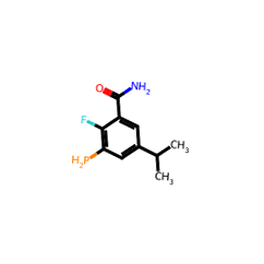 CC(C)c1cc(P)c(F)c(C(N)=O)c1